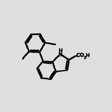 Cc1cccc(C)c1-c1cccc2cc(C(=O)O)[nH]c12